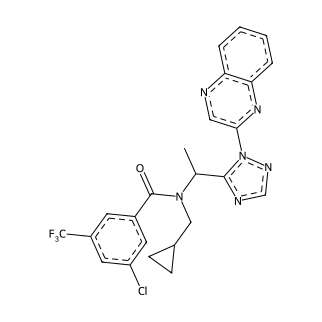 CC(c1ncnn1-c1cnc2ccccc2n1)N(CC1CC1)C(=O)c1cc(Cl)cc(C(F)(F)F)c1